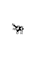 N#Cc1nc2nc[nH]c2c(=O)[nH]1